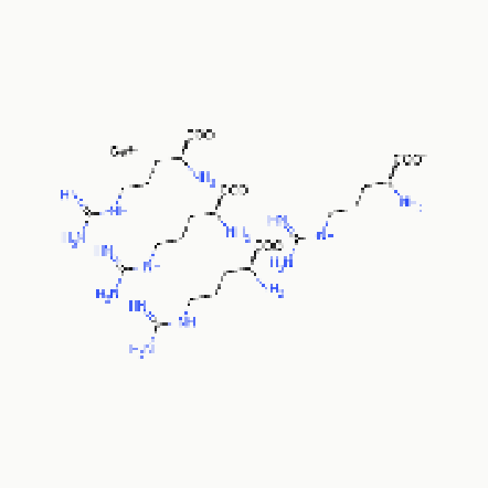 N=C(N)NCCC[C@H](N)C(=O)[O-].N=C(N)NCCC[C@H](N)C(=O)[O-].N=C(N)NCCC[C@H](N)C(=O)[O-].N=C(N)NCCC[C@H](N)C(=O)[O-].[Ge+4]